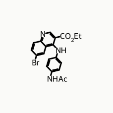 CCOC(=O)c1cnc2ccc(Br)cc2c1Nc1ccc(NC(C)=O)cc1